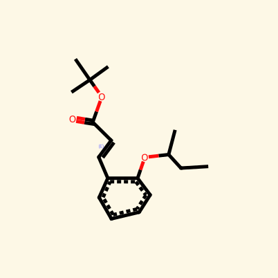 CCC(C)Oc1ccccc1/C=C/C(=O)OC(C)(C)C